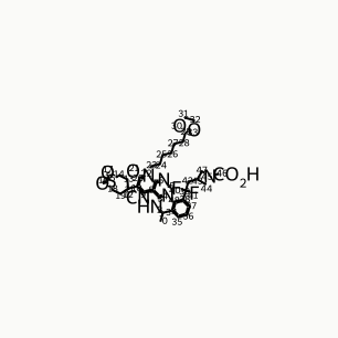 CC(Nc1ncnc2c1cc(C1(C#N)CCS(=O)(=O)CC1)c(=O)n2CCCCCCC1OCCO1)c1cccc(C(F)(F)CC2CN(C(=O)O)C2)c1